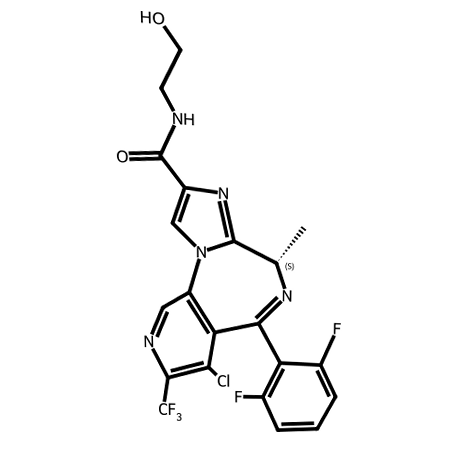 C[C@@H]1N=C(c2c(F)cccc2F)c2c(cnc(C(F)(F)F)c2Cl)-n2cc(C(=O)NCCO)nc21